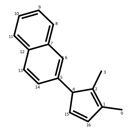 CC1=C(C)C(c2[c]c3ccccc3cc2)C=C1